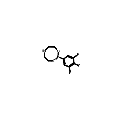 Fc1cc(B2OCCNCCO2)cc(F)c1F